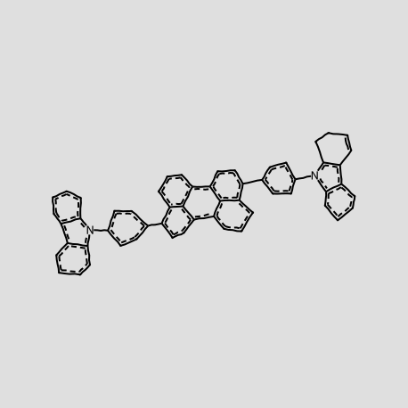 C1=Cc2c(n(-c3ccc(-c4ccc5c6cccc7c(-c8ccc(-n9c%10ccccc%10c%10ccccc%109)cc8)ccc(c8cccc4c85)c76)cc3)c3ccccc23)CC1